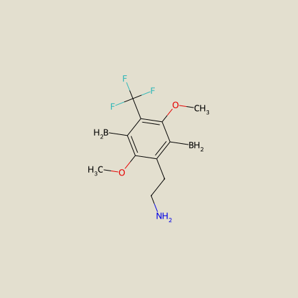 Bc1c(CCN)c(OC)c(B)c(C(F)(F)F)c1OC